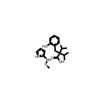 CC(C)C(Cc1ccccc1O)(C(=O)O)C(C)C.CONc1ccc[pH]1